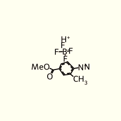 COC(=O)c1ccc([N+]#N)c(C)c1.F[B-](F)(F)F.[H+]